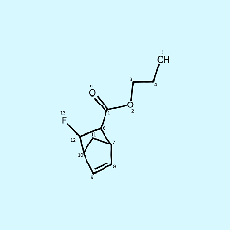 O=C(OCCO)C1C2C=CC(C2)C1F